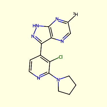 [2H]c1cnc2c(-c3ccnc(N4CCCC4)c3Cl)n[nH]c2n1